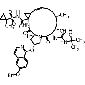 CCOc1ccc2c(O[C@@H]3C[C@H]4C(=O)NC5(C(=O)NS(=O)(=O)C6(C)CC6)CC5/C=C\CC[C@@H](C)C[C@@H](C)[C@H](NC(=O)NC(C)(C)C(F)(F)F)C(=O)N4C3)nccc2c1